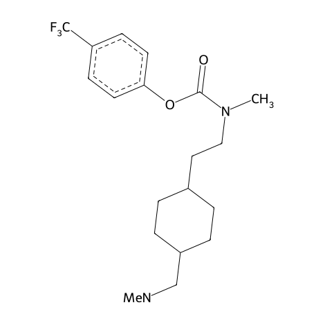 CNCC1CCC(CCN(C)C(=O)Oc2ccc(C(F)(F)F)cc2)CC1